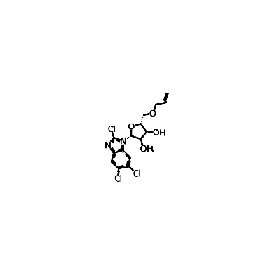 C=CCOC[C@H]1O[C@@H](n2c(Cl)nc3cc(Cl)c(Cl)cc32)[C@H](O)[C@@H]1O